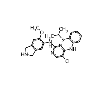 COc1cc2c(cc1Nc1ncc(Cl)c(Nc3ccccc3SC(C)C)n1)CNC2